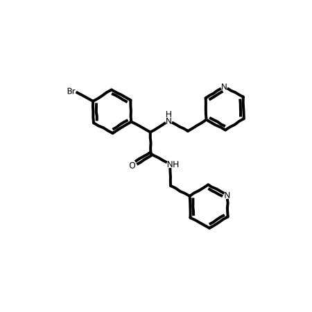 O=C(NCc1cccnc1)C(NCc1cccnc1)c1ccc(Br)cc1